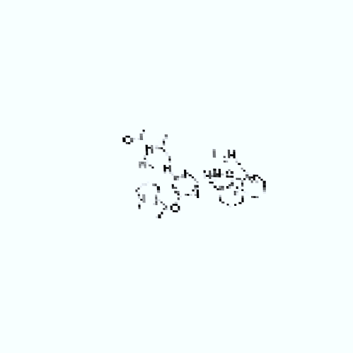 CC(=O)N1[C@@H](C)CN(c2cc(O[C@@H](C)[C@@H]3CCCN3C)nc(-c3noc4c3CCC[C@@]43CCCc4sc(N)c(C#N)c43)n2)C[C@@H]1C